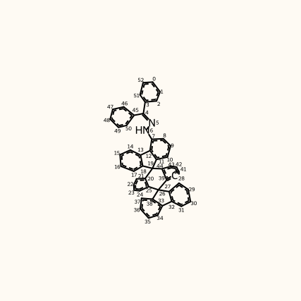 c1ccc(C(=NNc2cccc3c2-c2ccccc2C32c3ccccc3C3(c4ccccc4-c4ccccc43)c3ccccc32)c2ccccc2)cc1